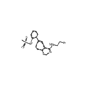 CC(C)CCNc1ncnc2ccc(-c3ccccc3NS(C)(=O)=O)cc12